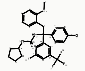 COc1ccccc1CC(NC(=O)NC1CCCC1)(c1cc(F)cc(C(F)(F)F)c1)c1ccc(Cl)cn1